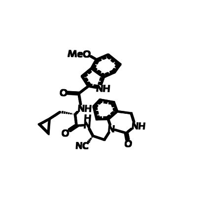 COc1cccc2[nH]c(C(=O)N[C@@H](CC3CC3)C(=O)N[C@@H](C#N)CN3C(=O)NCc4ccccc43)cc12